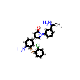 C=C(N)c1cccc(N2C[C@@H](c3ccc(N)c(Sc4ccccc4Cl)c3)CC2=O)c1